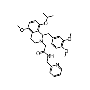 COc1ccc(CC2c3c(OC(C)C)ccc(OC)c3CCN2CC(=O)NCc2ccccn2)cc1OC